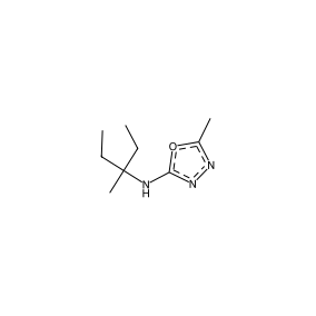 CCC(C)(CC)Nc1nnc(C)o1